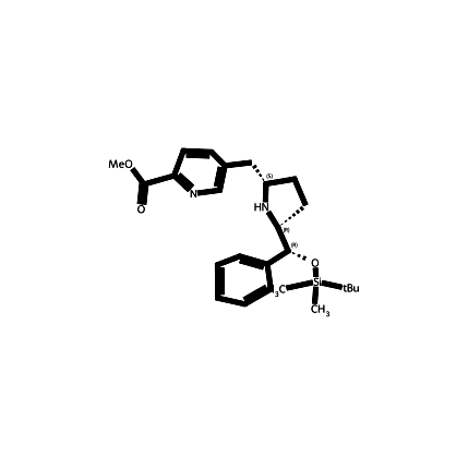 COC(=O)c1ccc(C[C@@H]2CC[C@H]([C@H](O[Si](C)(C)C(C)(C)C)c3ccccc3)N2)cn1